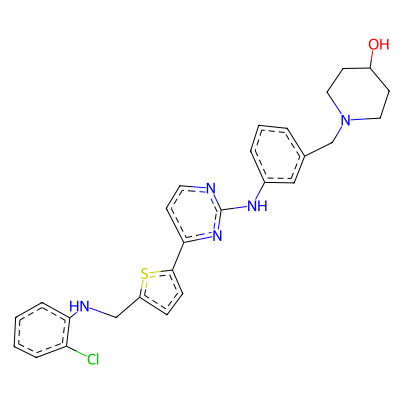 OC1CCN(Cc2cccc(Nc3nccc(-c4ccc(CNc5ccccc5Cl)s4)n3)c2)CC1